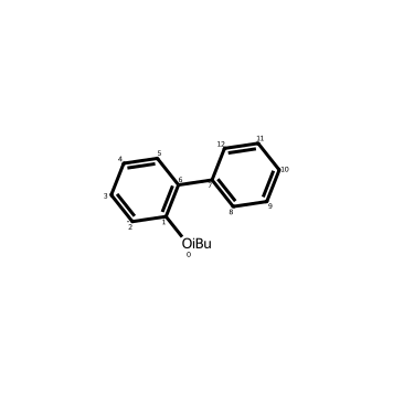 CC(C)COc1[c]cccc1-c1ccccc1